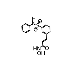 O=C(/C=C/C1=CC(S(=O)(=O)Nc2ccccc2)=CCC1)NO